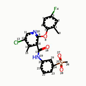 Cc1cc(F)ccc1Oc1ncc(Cl)c(C)c1C(=O)Nc1cccc(S(C)(=O)=O)c1